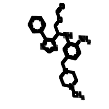 CN1CCN(Cc2ccc(N)c(NC(COC=O)c3scnc3-c3ccccc3)c2)CC1